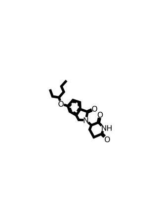 CCCC(CC)Oc1ccc2c(c1)CN(C1CCC(=O)NC1=O)C2=O